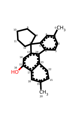 Cc1ccc2c(c1)C1(CCCCC1)c1cc(O)c3cc(C)ccc3c1-2